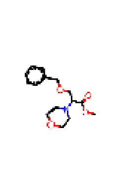 COC(=O)C(COCc1ccccc1)N1CCOCC1